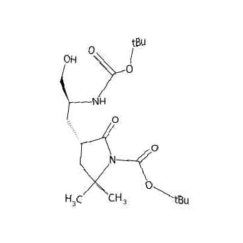 CC(C)(C)OC(=O)N[C@H](CO)C[C@H]1CC(C)(C)N(C(=O)OC(C)(C)C)C1=O